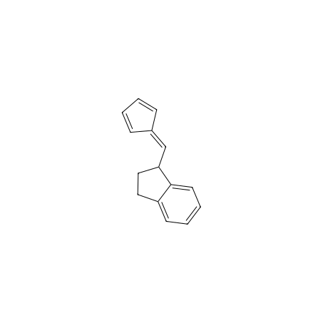 C1=CC(=CC2CCc3ccccc32)C=C1